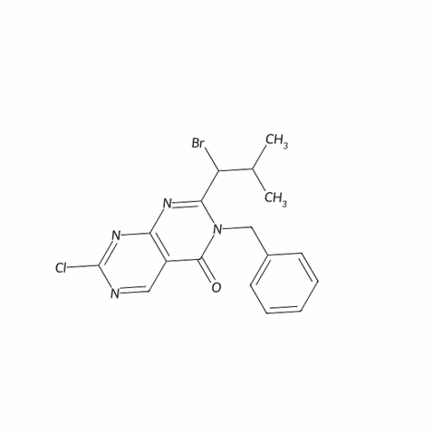 CC(C)C(Br)c1nc2nc(Cl)ncc2c(=O)n1Cc1ccccc1